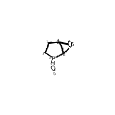 O=[PH]1CCC2OC21